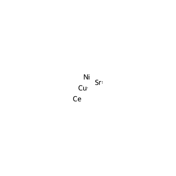 [Ce].[Cu].[Ni].[Sr]